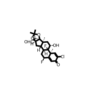 CC1(C)O[C@@H]2C[C@H]3[C@@H]4C[C@H](F)C5=CC(=O)C(Cl)=C[C@]5(C)[C@@]4(F)[C@@H](O)C[C@]3(C)[C@]2(C(=O)C=O)O1